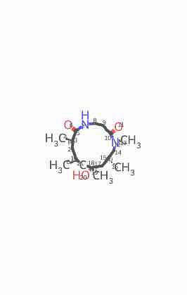 C[C@H]1C[C@@H](C)C(=O)NCCC(=O)N(C)C[C@H](C)C[C@@](C)(O)C1